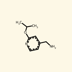 CC(C)Oc1cc(CN)ccn1